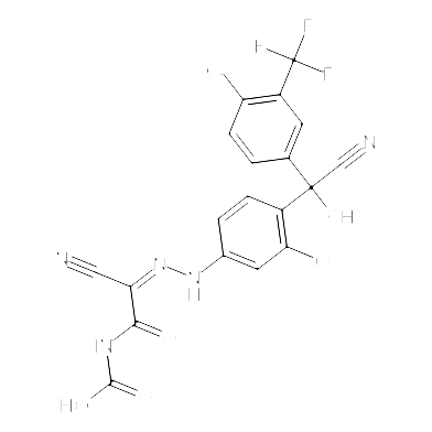 CC(C#N)(c1ccc(Cl)c(C(F)(F)F)c1)c1ccc(NN=C(C#N)C(=O)NC(=O)O)cc1Cl